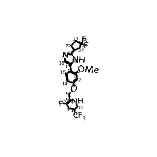 COc1cc(OCC2=C(F)C=C(C(F)(F)F)CN2)ccc1-c1cnc(C2CCC(F)(F)C2)[nH]1